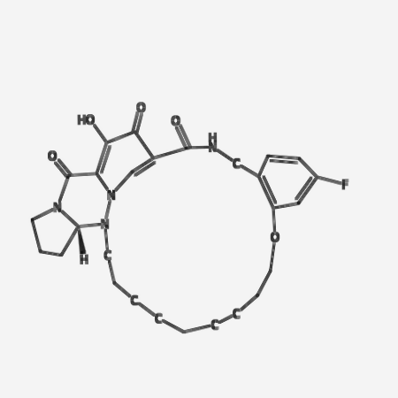 O=C1NCc2ccc(F)cc2OCCCCCCCCCN2[C@@H]3CCCN3C(=O)c3c(O)c(=O)c1cn32